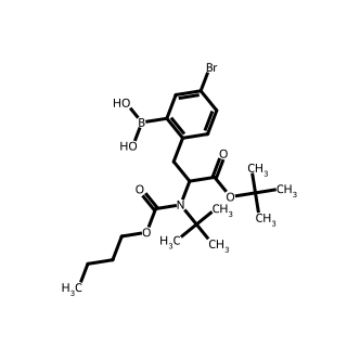 CCCCOC(=O)N(C(Cc1ccc(Br)cc1B(O)O)C(=O)OC(C)(C)C)C(C)(C)C